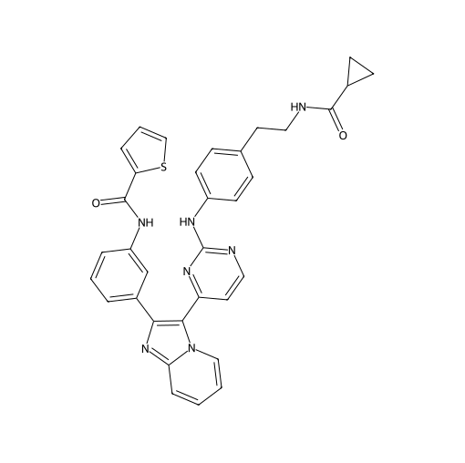 O=C(Nc1cccc(-c2nc3ccccn3c2-c2ccnc(Nc3ccc(CCNC(=O)C4CC4)cc3)n2)c1)c1cccs1